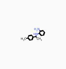 Cc1ccc(C(C)Nc2ccccc2N)cc1